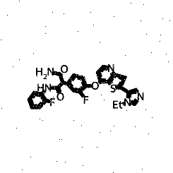 CCn1cncc1-c1cc2nccc(Oc3ccc(C(C(N)=O)C(=O)Nc4ccccc4F)cc3F)c2s1